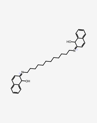 OC1/C(=N\CCCCCCCCCCCC/N=C2/C=Cc3ccccc3C2O)C=Cc2ccccc21